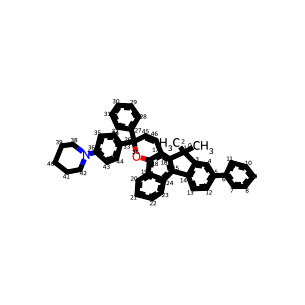 CC1(C)c2cc(-c3ccccc3)ccc2-c2c1c1c(c3ccccc23)OC(c2ccccc2)(c2ccc(N3CCCCC3)cc2)C=C1